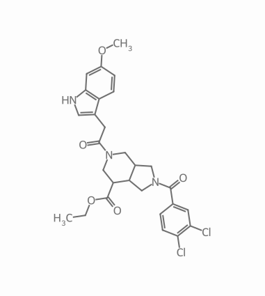 CCOC(=O)C1CN(C(=O)Cc2c[nH]c3cc(OC)ccc23)CC2CN(C(=O)c3ccc(Cl)c(Cl)c3)CC21